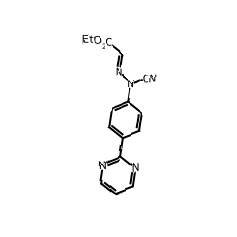 CCOC(=O)C=NN(C#N)c1ccc(-c2ncccn2)cc1